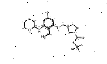 CC(C)(C)OC(=O)N1CC[C@H](COc2cc(Br)cc(NC3CCCCO3)c2C=N)C1